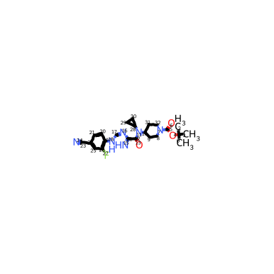 CC(C)(C)OC(=O)N1CCC(N(C(=O)C(=N)/N=C\Nc2ccc(C#N)cc2F)C2CC2)CC1